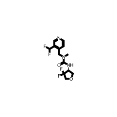 CN(Cc1ccncc1C(F)F)C(=O)N[C@@H]1COCC1(F)F